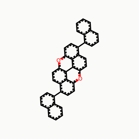 c1ccc2c(-c3ccc4oc5ccc6c(-c7cccc8ccccc78)ccc7oc8ccc3c4c8-c5c76)cccc2c1